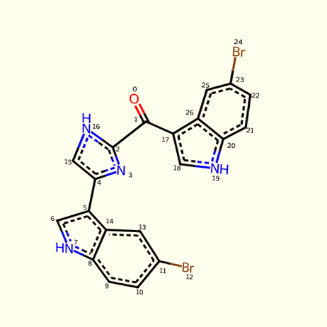 O=C(c1nc(-c2c[nH]c3ccc(Br)cc23)c[nH]1)c1c[nH]c2ccc(Br)cc12